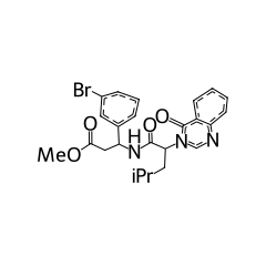 COC(=O)CC(NC(=O)C(CC(C)C)n1cnc2ccccc2c1=O)c1cccc(Br)c1